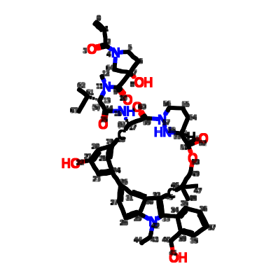 C=CC(=O)N1CCC(O)(C(=O)N(C)[C@H](C(=O)N[C@H]2Cc3cc(O)cc(c3)-c3ccc4c(c3)c(c(-c3ccccc3CO)n4CC)CC(C)(C)COC(=O)[C@@H]3CCCN(N3)C2=O)C(C)C)C1